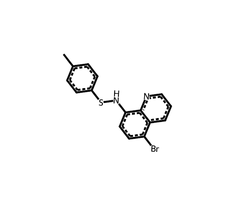 Cc1ccc(SNc2ccc(Br)c3cccnc23)cc1